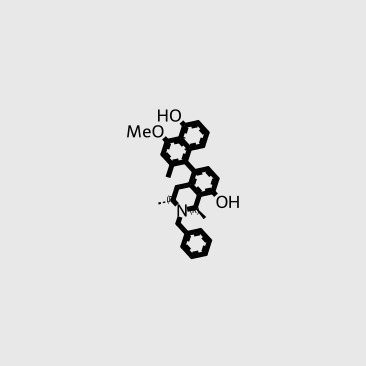 COc1cc(C)c(-c2ccc(O)c3c2C[C@@H](C)N(Cc2ccccc2)[C@@H]3C)c2cccc(O)c12